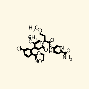 COCCC(C(=O)Nc1ccc(C(N)=O)nc1)n1cc(OC)c(-c2cc(Cl)ccc2C2=NOCCO2)cc1=O